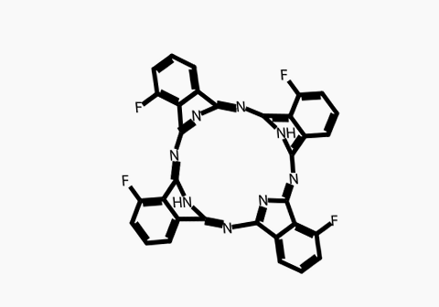 Fc1cccc2c1-c1nc-2nc2[nH]c(nc3nc(nc4[nH]c(n1)c1cccc(F)c41)-c1cccc(F)c1-3)c1c(F)cccc21